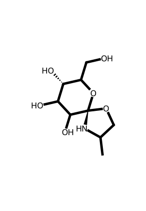 CC1CO[C@@]2(N1)OC(CO)[C@@H](O)C(O)C2O